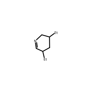 CCC1C=NCC(CC)C1